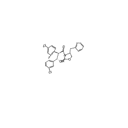 O=C1OCC(Cc2ccccc2)N1C(=O)[C@H](c1ccc(Cl)cc1F)[C@H](O)c1cccc(Cl)c1